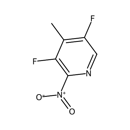 Cc1c(F)cnc([N+](=O)[O-])c1F